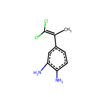 CC(=C(Cl)Cl)c1ccc(N)c(N)c1